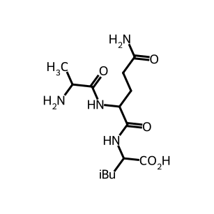 CCC(C)C(NC(=O)C(CCC(N)=O)NC(=O)C(C)N)C(=O)O